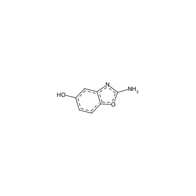 Nc1nc2cc(O)ccc2o1